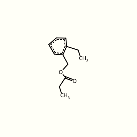 CCC(=O)OCc1ccccc1CC